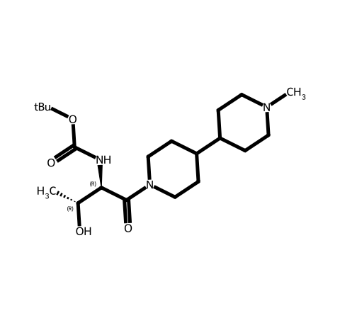 C[C@@H](O)[C@@H](NC(=O)OC(C)(C)C)C(=O)N1CCC(C2CCN(C)CC2)CC1